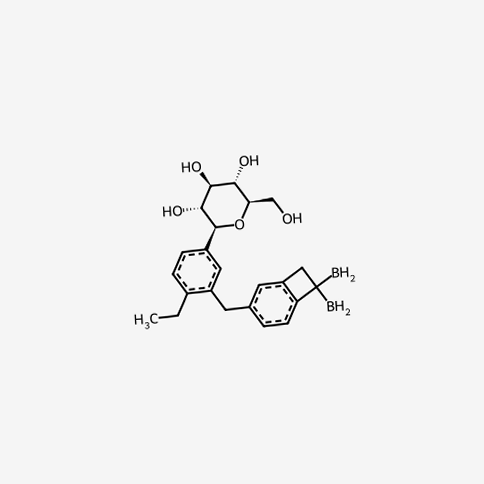 BC1(B)Cc2cc(Cc3cc([C@@H]4O[C@H](CO)[C@@H](O)[C@H](O)[C@H]4O)ccc3CC)ccc21